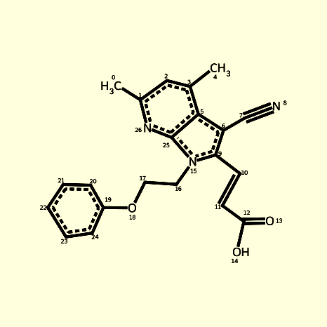 Cc1cc(C)c2c(C#N)c(C=CC(=O)O)n(CCOc3ccccc3)c2n1